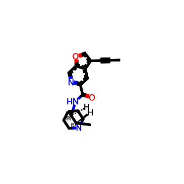 CC#Cc1coc2cnc(C(=O)N[C@@H]3C4CCN(CC4)[C@H]3C)cc12